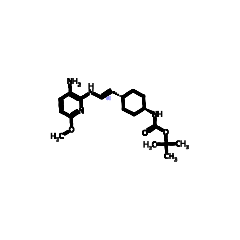 COc1ccc(N)c(N/C=C/[C@H]2CC[C@H](NC(=O)OC(C)(C)C)CC2)n1